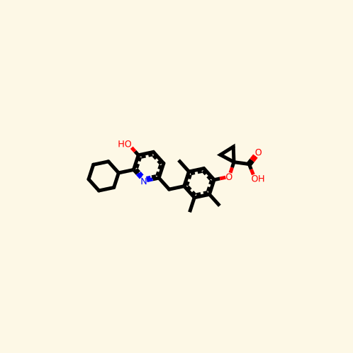 Cc1cc(OC2(C(=O)O)CC2)c(C)c(C)c1Cc1ccc(O)c(C2CCCCC2)n1